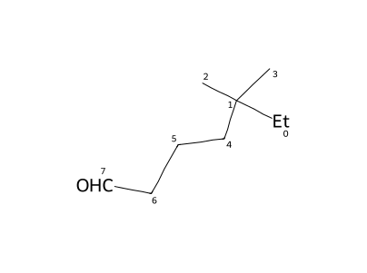 CCC(C)(C)CCCC=O